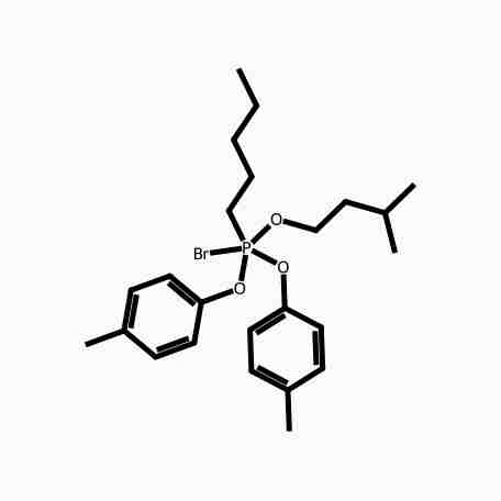 CCCCCP(Br)(OCCC(C)C)(Oc1ccc(C)cc1)Oc1ccc(C)cc1